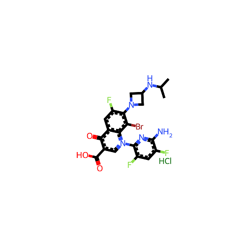 CC(C)NC1CN(c2c(F)cc3c(=O)c(C(=O)O)cn(-c4nc(N)c(F)cc4F)c3c2Br)C1.Cl